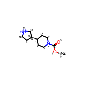 CC(C)(C)OC(=O)N1CCC([C@H]2CCNC2)CC1